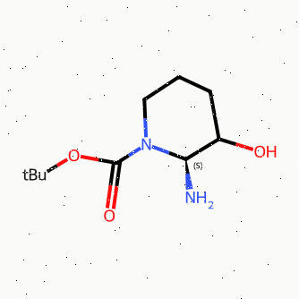 CC(C)(C)OC(=O)N1CCCC(O)[C@H]1N